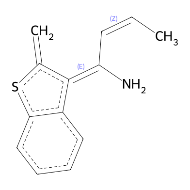 C=c1sc2ccccc2/c1=C(N)/C=C\C